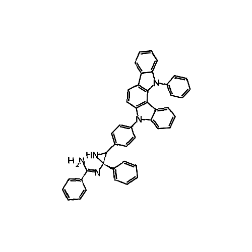 N/C(=N\[C@]1(c2ccccc2)NC1c1ccc(-n2c3ccccc3c3c2ccc2c4ccccc4n(-c4ccccc4)c23)cc1)c1ccccc1